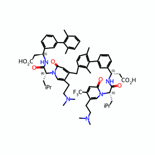 Cc1cccc(C)c1-c1cccc([C@H](CC(=O)O)NC(=O)[C@@H](CC(C)C)n2cc(CCN(C)C)c(Cc3ccc(C)c(-c4cccc([C@H](CC(=O)O)NC(=O)[C@H](CC(C)C)n5cc(CCN(C)C)c(C(F)(F)F)cc5=O)c4)c3C)cc2=O)c1